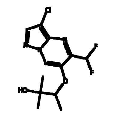 CC(Oc1cn2ncc(Cl)c2nc1C(F)F)C(C)(C)O